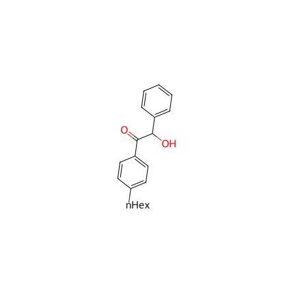 CCCCCCc1ccc(C(=O)C(O)c2ccccc2)cc1